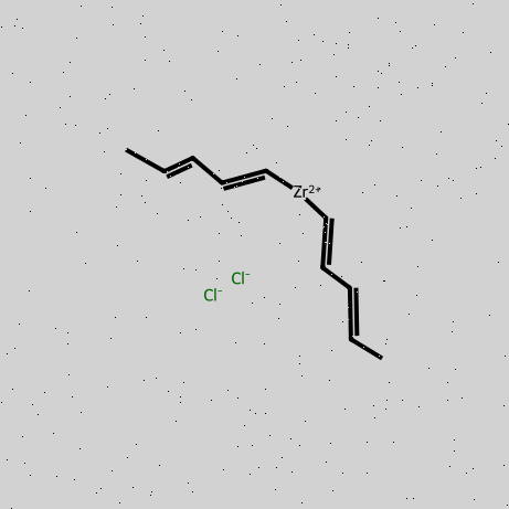 CC=CC=[CH][Zr+2][CH]=CC=CC.[Cl-].[Cl-]